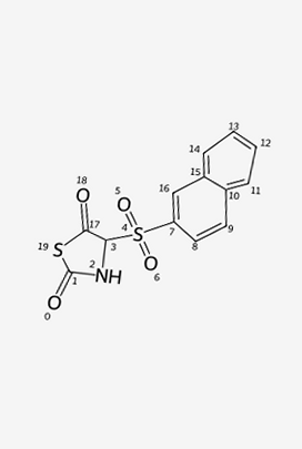 O=C1NC(S(=O)(=O)c2ccc3ccccc3c2)C(=O)S1